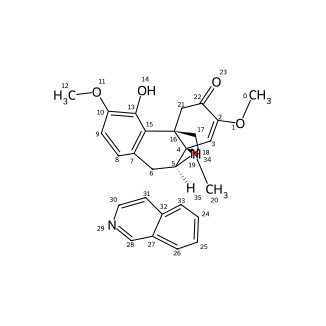 COC1=C[C@@H]2[C@@H]3Cc4ccc(OC)c(O)c4[C@]2(CCN3C)CC1=O.c1ccc2cnccc2c1